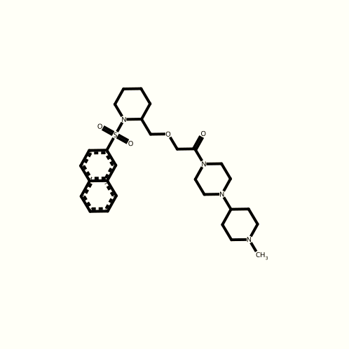 CN1CCC(N2CCN(C(=O)COCC3CCCCN3S(=O)(=O)c3ccc4ccccc4c3)CC2)CC1